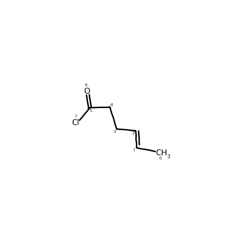 CC=CCCC(=O)Cl